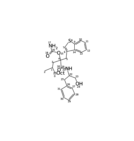 CCCCCCCCC(C)CC(Cc1csc2ccccc12)(OC(N)=O)C(=O)NC(CO)Cc1ccccc1